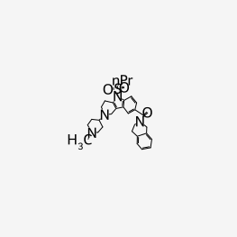 CCCS(=O)(=O)n1c2c(c3cc(C(=O)N4CCc5ccccc5C4)ccc31)CN(C1CCN(C)CC1)CC2